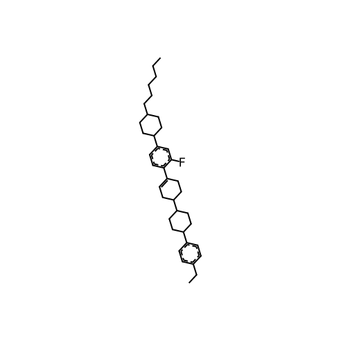 CCCCCCC1CCC(c2ccc(C3=CCC(C4CCC(c5ccc(CC)cc5)CC4)CC3)c(F)c2)CC1